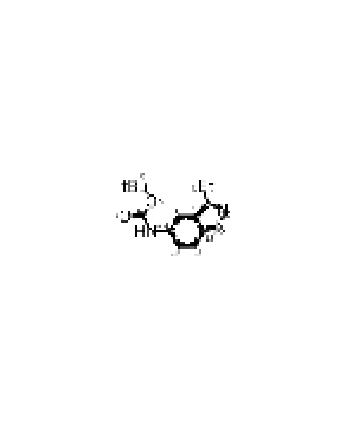 CCC1=c2cc(NC(=O)OC(C)(C)C)ccc2=N[N]1